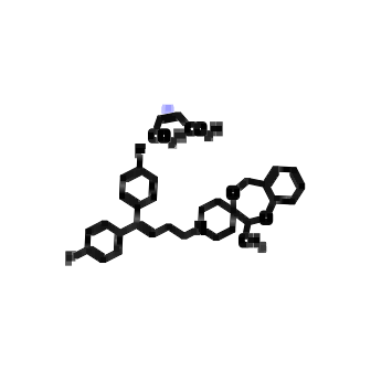 CC1Oc2ccccc2COC12CCN(CCC=C(c1ccc(F)cc1)c1ccc(F)cc1)CC2.O=C(O)/C=C\C(=O)O